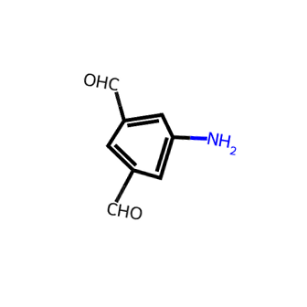 Nc1cc(C=O)cc(C=O)c1